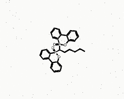 CCCCCC(P1(=O)Oc2ccccc2-c2ccccc21)P1(=O)Oc2ccccc2-c2ccccc21